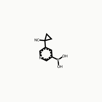 N#CC1(c2cncc(B(O)O)c2)CC1